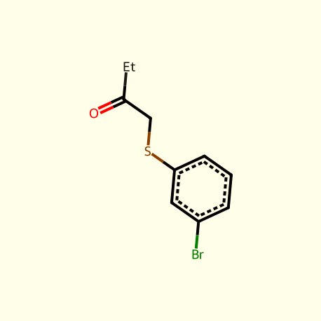 CCC(=O)CSc1cccc(Br)c1